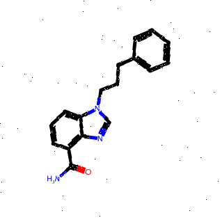 NC(=O)c1cccc2c1ncn2CCCc1ccccc1